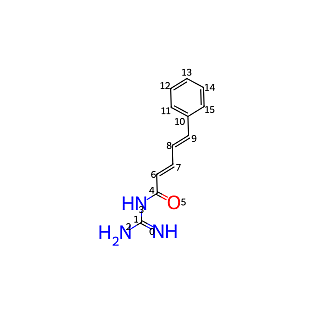 N=C(N)NC(=O)C=CC=Cc1ccccc1